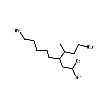 CCCC(CC)C[C](CCCCCC(C)C)C(C)CCC(C)CC